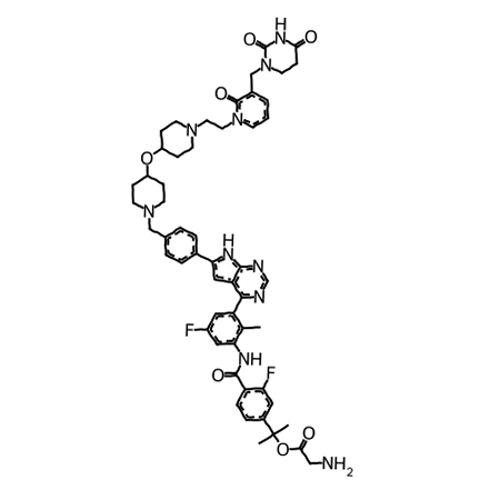 Cc1c(NC(=O)c2ccc(C(C)(C)OC(=O)CN)cc2F)cc(F)cc1-c1ncnc2[nH]c(-c3ccc(CN4CCC(OC5CCN(CCn6cccc(CN7CCC(=O)NC7=O)c6=O)CC5)CC4)cc3)cc12